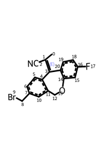 C/C(C#N)=C1/c2ccc(CBr)cc2COc2cc(F)ccc21